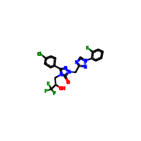 O=c1n(Cc2ncn(-c3ccccc3F)n2)nc(-c2ccc(Cl)cc2)n1CC(O)C(F)(F)F